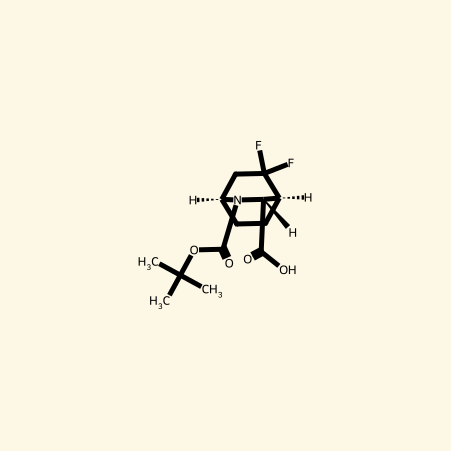 CC(C)(C)OC(=O)N1[C@H]2CC[C@@H]([C@@H]1C(=O)O)C(F)(F)C2